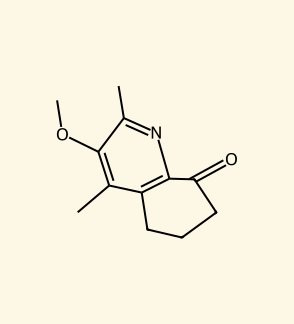 COc1c(C)nc2c(c1C)CCCC2=O